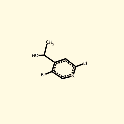 CC(O)c1cc(Cl)ncc1Br